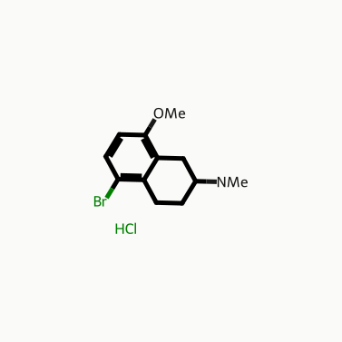 CNC1CCc2c(Br)ccc(OC)c2C1.Cl